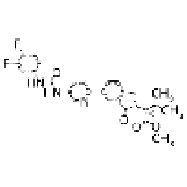 COC(=O)[C@H](C(C)C)N1Cc2ccc(-c3ccc(NC(=O)Nc4ccc(F)c(F)c4)cn3)cc2C1=O